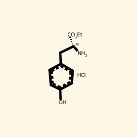 CCOC(=O)[C@H](N)Cc1ccc(O)cc1.Cl